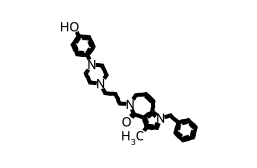 Cc1cn(Cc2ccccc2)c2c1C(=O)N(CCCN1CCN(c3ccc(O)cc3)CC1)CC=C2